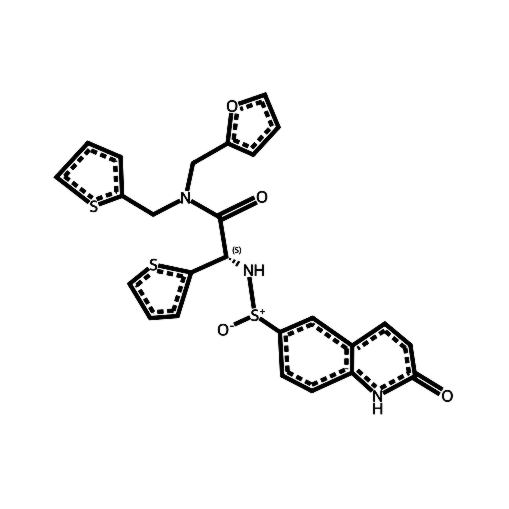 O=C([C@H](N[S+]([O-])c1ccc2[nH]c(=O)ccc2c1)c1cccs1)N(Cc1ccco1)Cc1cccs1